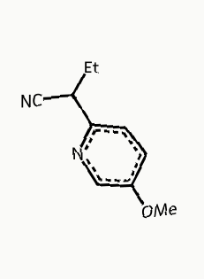 CCC(C#N)c1ccc(OC)cn1